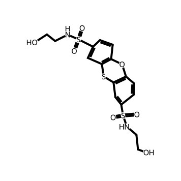 O=S(=O)(NCCO)c1ccc2c(c1)Sc1cc(S(=O)(=O)NCCO)ccc1O2